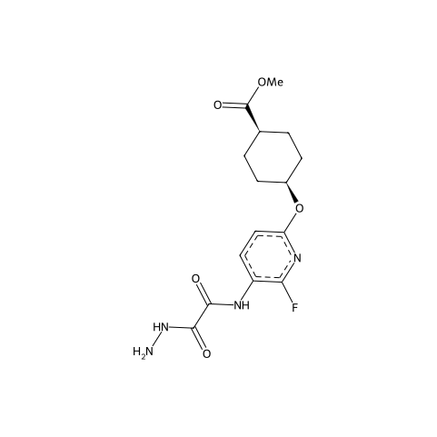 COC(=O)[C@H]1CC[C@@H](Oc2ccc(NC(=O)C(=O)NN)c(F)n2)CC1